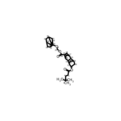 CC(C)(C)CCC(=O)OC1CC2CC1C1C3CC(CC3C(=O)OCOC3C4CC5CC(C4)CC3C5)C21